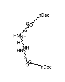 CCCCCCCCCCCCCCCCOC(=O)CCSCCCC(=N)NCCNCCNC(=N)CCCSCCC(=O)OCCCCCCCCCCCCCCCC